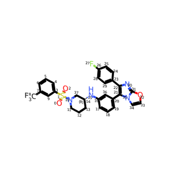 O=S(=O)(c1cccc(C(F)(F)F)c1)N1CCC[C@@H](Nc2cccc(-c3c(-c4ccc(F)cc4)nc4occn34)c2)C1